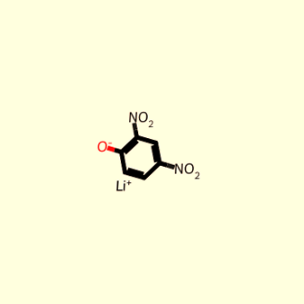 O=[N+]([O-])c1ccc([O-])c([N+](=O)[O-])c1.[Li+]